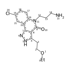 CCOCCc1[nH]nc2c1c(=O)n(CCCN)c1ccc(Cl)cc21